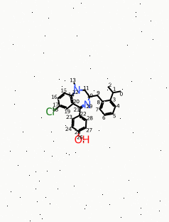 CC(C)c1ccccc1CC1CN(C)c2ccc(Cl)cc2C(c2ccc(O)cc2)=N1